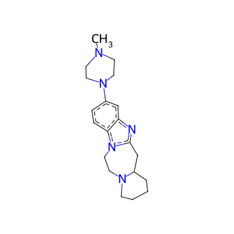 CN1CCN(c2ccc3c(c2)nc2n3CCN3CCCCC3C2)CC1